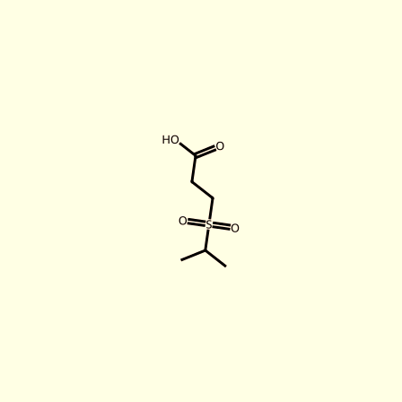 CC(C)S(=O)(=O)CCC(=O)O